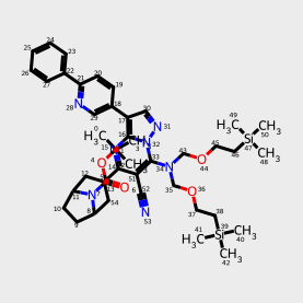 CC(C)(C)OC(=O)N1C2CCC1CC(c1nc3c(-c4ccc(-c5ccccc5)nc4)cnn3c(N(COCC[Si](C)(C)C)COCC[Si](C)(C)C)c1C#N)C2